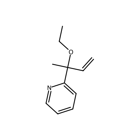 C=CC(C)(OCC)c1ccccn1